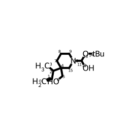 C=CC(C)C1(CO)CCCN(C(O)OC(C)(C)C)C1